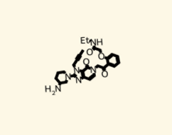 CC#CCn1c(N2CCCC(N)C2)nc2ccn(CC(=O)c3ccccc3OCC(=O)NCC)c(=O)c21